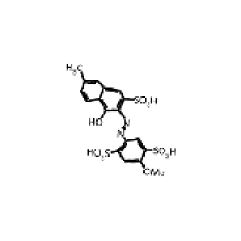 COc1cc(S(=O)(=O)O)c(N=Nc2c(S(=O)(=O)O)cc3cc(C)ccc3c2O)cc1S(=O)(=O)O